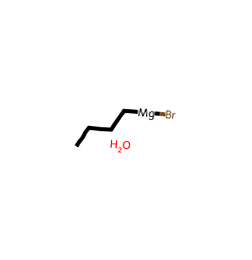 CCC[CH2][Mg][Br].O